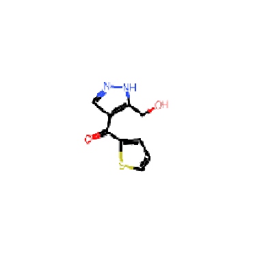 O=C(c1cccs1)c1cn[nH]c1CO